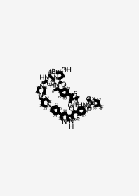 CC(NC(=O)[C@@H]1C[C@@H](O)CN1C(=O)C(NC(=O)CN1CCN(CC2CCN(c3ccc(-c4cnc5[nH]cc(C(=O)c6c(F)ccc(NS(=O)(=O)N7CC[C@@H](F)C7)c6F)c5c4)cc3)CC2)CC1)C(C)(C)C)c1ccc(-c2scnc2CO)cc1